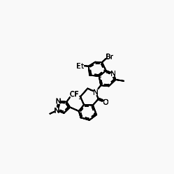 CCc1cc(Br)c2nc(C)cc(N3CCc4c(cccc4-c4cn(C)nc4C(F)(F)F)C3=O)c2c1